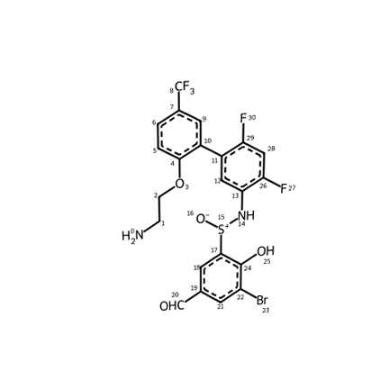 NCCOc1ccc(C(F)(F)F)cc1-c1cc(N[S+]([O-])c2cc(C=O)cc(Br)c2O)c(F)cc1F